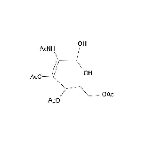 CC(=O)N/C(=C(\OC(C)=O)C(CCOC(C)=O)OC(C)=O)C(O)O